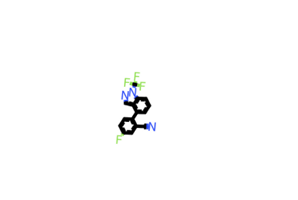 N#Cc1cc(F)ccc1-c1cccc2c1cnn2C(F)(F)F